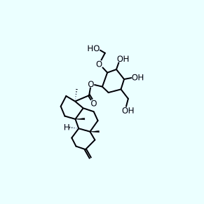 C=C1CC[C@@H]2[C@](C)(CCC3[C@](C)(C(=O)OC4CC(CO)C(O)C(O)C4OCO)CCC[C@]32C)C1